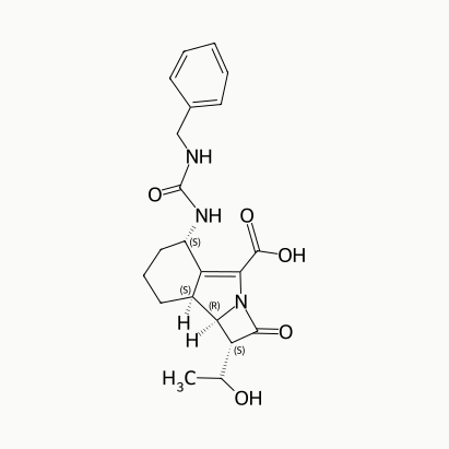 CC(O)[C@H]1C(=O)N2C(C(=O)O)=C3[C@@H](NC(=O)NCc4ccccc4)CCC[C@@H]3[C@H]12